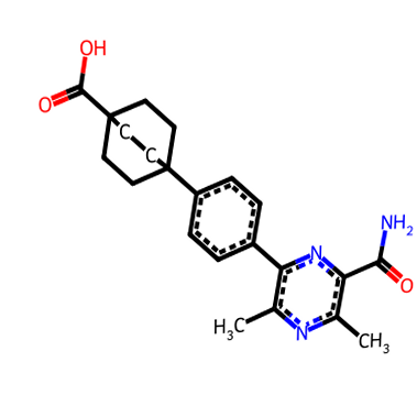 Cc1nc(C)c(-c2ccc(C34CCC(C(=O)O)(CC3)CC4)cc2)nc1C(N)=O